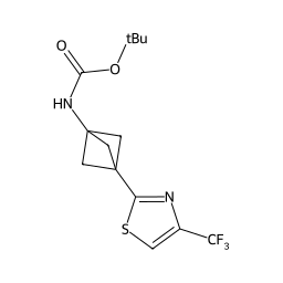 CC(C)(C)OC(=O)NC12CC(c3nc(C(F)(F)F)cs3)(C1)C2